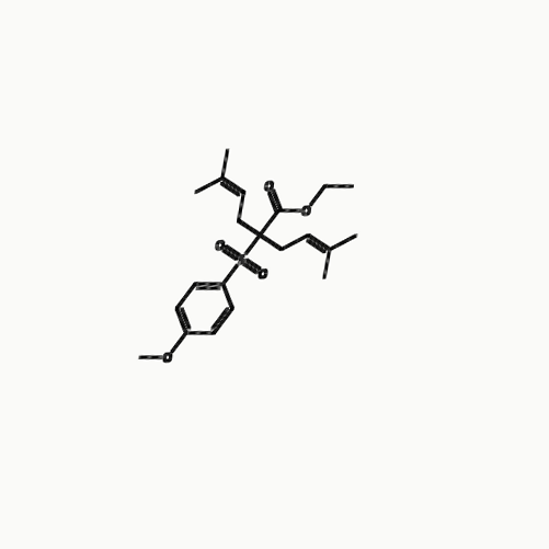 CCOC(=O)C(CC=C(C)C)(CC=C(C)C)S(=O)(=O)c1ccc(OC)cc1